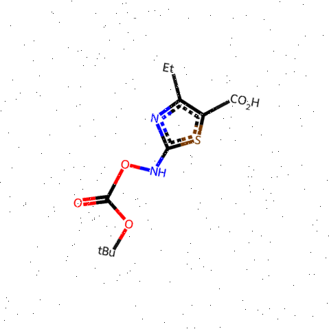 CCc1nc(NOC(=O)OC(C)(C)C)sc1C(=O)O